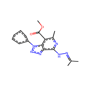 COC(=O)c1c(C)nc(NN=C(C)C)c2nnn(-c3ccccc3)c12